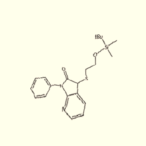 CC(C)(C)[Si](C)(C)OCCSC1C(=O)N(c2ccccc2)c2ncccc21